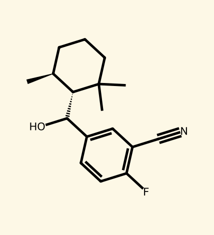 C[C@H]1CCCC(C)(C)[C@@H]1C(O)c1ccc(F)c(C#N)c1